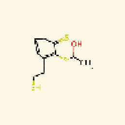 CC(O)SC1=C(CCS)C=CCC1=S